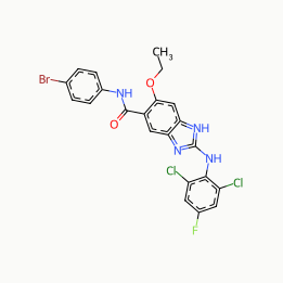 CCOc1cc2[nH]c(Nc3c(Cl)cc(F)cc3Cl)nc2cc1C(=O)Nc1ccc(Br)cc1